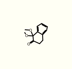 COC1(OC)C(=O)CCc2ccccc21